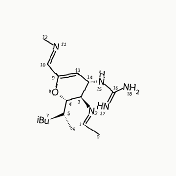 C/C=N/[C@H]1[C@H]([C@H](C)[C@H](C)CC)OC(/C=N/C)=C[C@@H]1NC(=N)N